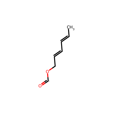 CC=CC=CCO[C]=O